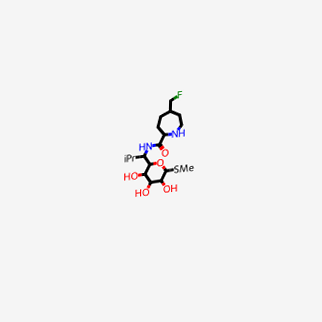 CSC1OC(C(NC(=O)C2CCC(CF)CCN2)C(C)C)C(O)C(O)C1O